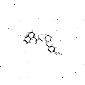 COc1ccc(CN2CCC[C@@H](C)[C@H]2CNC(=O)c2cccc3cccnc23)cc1